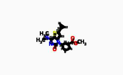 COC(=O)c1cccc(-n2c(=O)nc(N(C)C)c3sc(C4CC4)cc32)c1